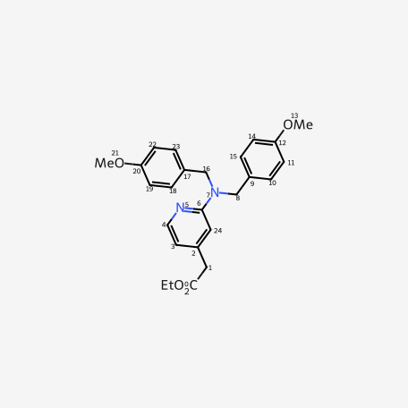 CCOC(=O)Cc1ccnc(N(Cc2ccc(OC)cc2)Cc2ccc(OC)cc2)c1